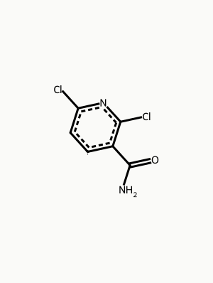 NC(=O)c1[c]cc(Cl)nc1Cl